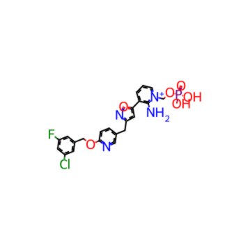 Nc1c(-c2cc(Cc3ccc(OCc4cc(F)cc(Cl)c4)nc3)no2)ccc[n+]1COP(=O)(O)O